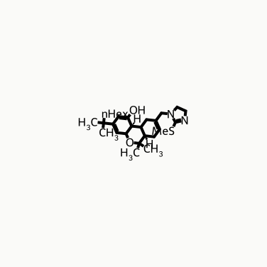 CCCCCCC(C)(C)C1=CC2OC(C)(C)[C@H]3CC=C(CN4CCN=C4SC)CC3[C@@H]2C(O)=C1